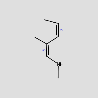 C/C=C\C(C)=C/NC